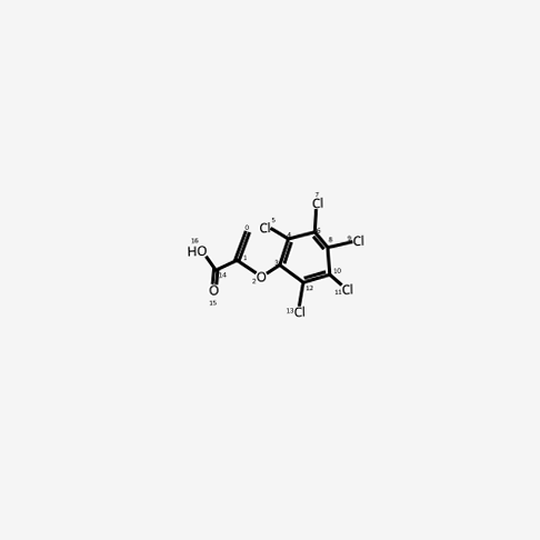 C=C(Oc1c(Cl)c(Cl)c(Cl)c(Cl)c1Cl)C(=O)O